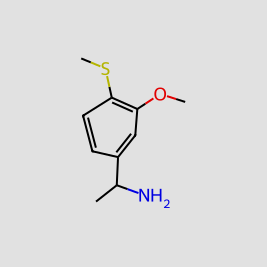 COc1cc(C(C)N)ccc1SC